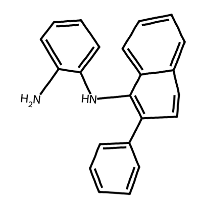 Nc1ccccc1Nc1c(-c2ccccc2)ccc2ccccc12